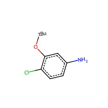 CC(C)(C)Oc1cc(N)ccc1Cl